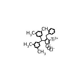 Cc1cc(C)cc(C(C2=C(Cc3ccccc3)[C]([Ti+3])=CC2)c2cc(C)cc(C)c2)c1.[Cl-].[Cl-].[Cl-]